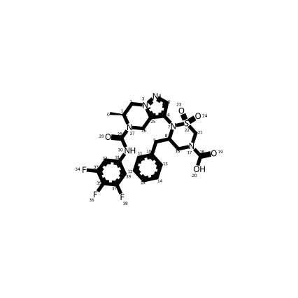 C[C@H]1Cn2ncc(N3C(Cc4ccccc4)CN(C(=O)O)CS3(=O)=O)c2CN1C(=O)Nc1cc(F)c(F)c(F)c1